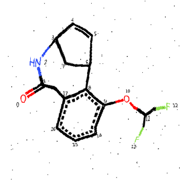 O=C1NC2C=CC(C2)c2c(OC(F)F)cccc21